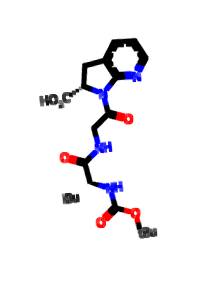 CC[C@H](C)[C@H](NC(=O)OC(C)(C)C)C(=O)NCC(=O)N1c2ncccc2C[C@H]1C(=O)O